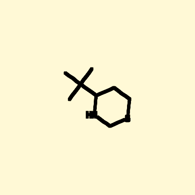 CC(C)(C)C1CCSCN1